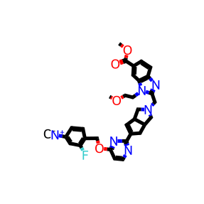 [C-]#[N+]c1ccc(COc2ccnc(C3=CC4CN(Cc5nc6ccc(C(=O)OC)cc6n5CCOC)CC4C3)n2)c(F)c1